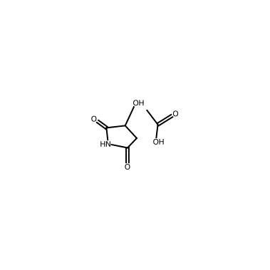 CC(=O)O.O=C1CC(O)C(=O)N1